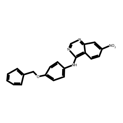 O=[N+]([O-])c1ccc2c(Nc3ccc(OCc4ccccc4)cc3)ncnc2c1